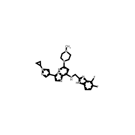 CN1CCN(c2cc(NCc3nc4c(F)c(F)ccc4[nH]3)c3ncc(-c4cnn(C5CC5)c4)n3n2)CC1